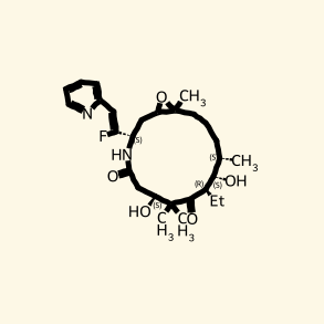 CC[C@H]1C(=O)C(C)(C)[C@@H](O)CC(=O)N[C@H](C(F)=Cc2ccccn2)CC2OC2(C)CCC[C@H](C)[C@@H]1O